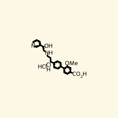 COc1cc(C(=O)O)ccc1-c1ccc(CCCNC[C@H](O)c2cccnc2)cc1.Cl.Cl